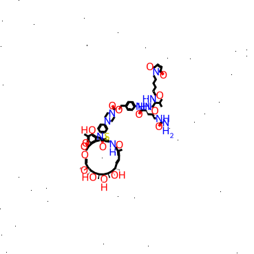 CO[C@H]1/C=C/O[C@@]2(C)Oc3c(C)c(O)c4c(=O)c(c5sc6cc(N7CCN(C(=O)OCc8ccc(NC(=O)[C@H](CCCNC(N)=O)NC(=O)[C@@H](NC(=O)CCCCCN9C(=O)C=CC9=O)C(C)C)cc8)CC7)ccc6nc-5c4c3C2=O)NC(=O)/C(C)=C\C=C\[C@H](C)[C@H](O)[C@@H](C)[C@@H](O)[C@@H](C)[C@H](O)[C@@H]1C